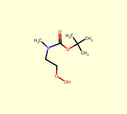 CN(CCOO)C(=O)OC(C)(C)C